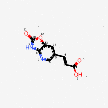 O=C(O)C=Cc1cnc2[nH]c(=O)oc2c1